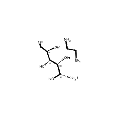 NCCN.O=C(O)[C@H](O)[C@@H](O)[C@H](O)[C@H](O)CO